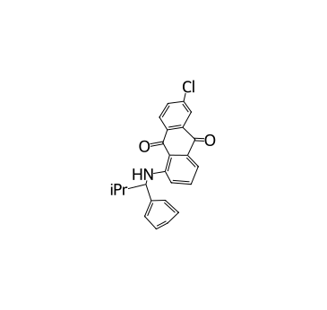 CC(C)C(Nc1cccc2c1C(=O)c1ccc(Cl)cc1C2=O)c1ccccc1